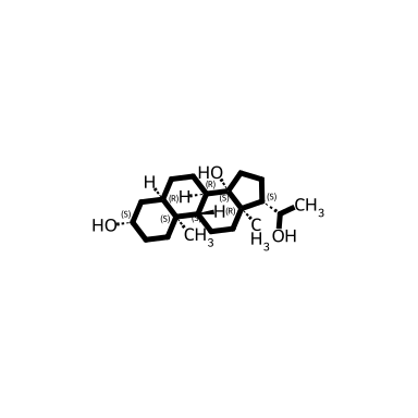 CC(O)[C@H]1CC[C@]2(O)[C@@H]3CC[C@@H]4C[C@@H](O)CC[C@]4(C)[C@H]3CC[C@]12C